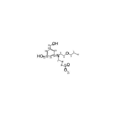 CCCOCCN(CCCC(=O)OC)c1cc(CO)cc(CO)c1